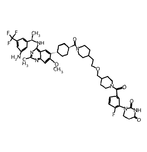 COc1cc2nc(C)nc(N[C@H](C)c3cc(N)cc(C(F)(F)F)c3)c2cc1[C@H]1CC[C@H](C(=O)N2CCC(CCOCC3CCN(C(=O)c4ccc(F)c(N5CCC(=O)NC5=O)c4)CC3)CC2)CC1